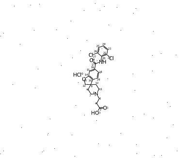 Cl.O=C(O)CCN1CCC2(CC1)COc1cc(C(=O)Nc3c(Cl)cccc3Cl)ccc12